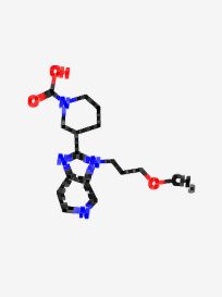 COCCCn1c(C2CCCN(C(=O)O)C2)nc2ccncc21